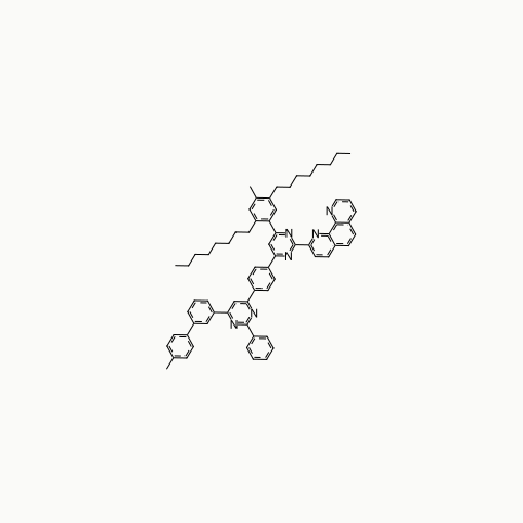 CCCCCCCCc1cc(-c2cc(-c3ccc(-c4cc(-c5cccc(-c6ccc(C)cc6)c5)nc(-c5ccccc5)n4)cc3)nc(-c3ccc4ccc5cccnc5c4n3)n2)c(CCCCCCCC)cc1C